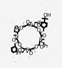 CC(C)CC1C(=O)O[C@H](C)C(=O)N(C)[C@@H](CC(C)C)C(=O)O[C@H](Cc2ccc(C(C)(C)O)cc2)C(=O)N(C)[C@@H](CC(C)C)C(=O)O[C@H](C)C(=O)N(C)[C@@H](CC(C)C)C(=O)O[C@H](Cc2ccccc2)C(=O)N1C